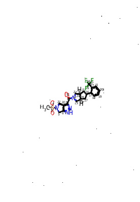 CS(=O)(=O)N1Cc2[nH]nc(C(=O)N3C[C@H]4CC(c5ccccc5C(F)(F)F)C[C@H]4C3)c2C1